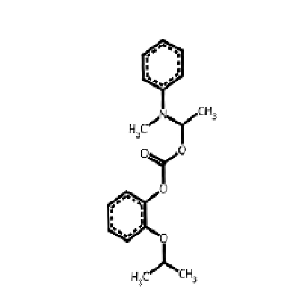 CC(C)Oc1ccccc1OC(=O)OC(C)N(C)c1ccccc1